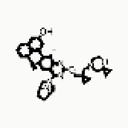 C#Cc1cccc2cc(O)cc(-c3c(C)cc4c(N5CC6CCC(C5)N6)nc(OCC5(CN6CCOC7(CC7)C6)CC5)nc4c3F)c12